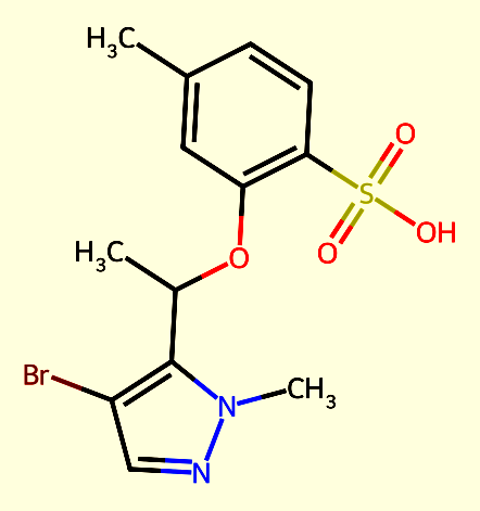 Cc1ccc(S(=O)(=O)O)c(OC(C)c2c(Br)cnn2C)c1